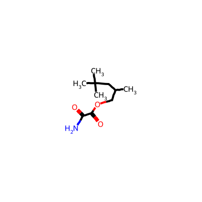 CC(COC(=O)C(N)=O)CC(C)(C)C